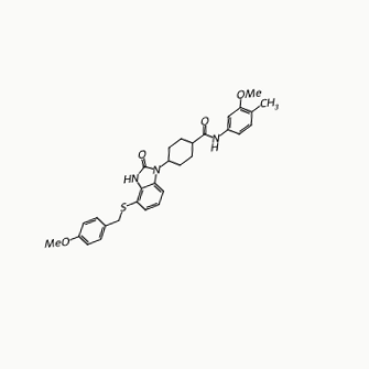 COc1ccc(CSc2cccc3c2[nH]c(=O)n3C2CCC(C(=O)Nc3ccc(C)c(OC)c3)CC2)cc1